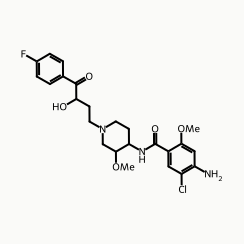 COc1cc(N)c(Cl)cc1C(=O)NC1CCN(CCC(O)C(=O)c2ccc(F)cc2)CC1OC